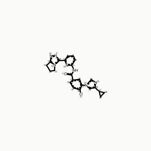 O=C(Nc1cccc(-c2nnc3n2CCC3)n1)c1ccc(Cl)c(-n2cnc(C3CC3)c2)c1